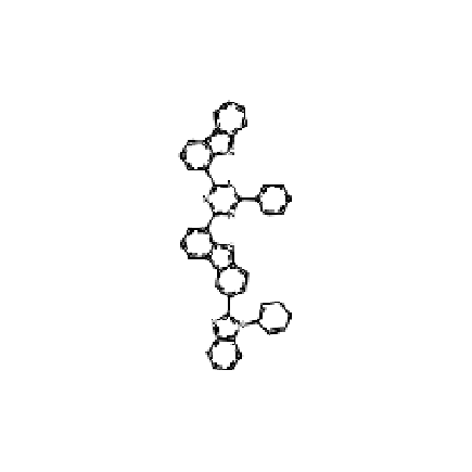 C1=CC(n2c(-c3ccc4sc5c(-c6nc(-c7ccccc7)nc(-c7cccc8c7sc7ccccc78)n6)cccc5c4c3)nc3ccccc32)=CCC1